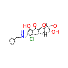 C=C1C(C=O)=C(O)C[C@@H]2CC3Cc4c(Cl)c(CNCCc5ccccc5)cc(O)c4C(=O)C3=C3O[C@]132